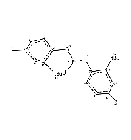 Cc1ccc(OP(F)Oc2ccc(C)cc2C(C)(C)C)c(C(C)(C)C)c1